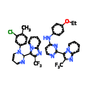 CCOc1ccc(Nc2ccnc(-c3c(C(F)(F)F)nc4ccccn34)n2)cc1.Cc1ccc(N2C=CC=NC2c2c(C(F)(F)F)nc3ccccn23)cc1Cl